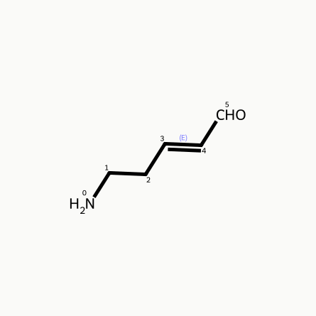 NCC/C=C/C=O